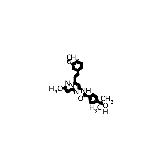 COc1cccc(C=Cc2cc(NC(=O)c3ccc(C(C)(C)O)cc3)nc3cc(C)nn23)c1